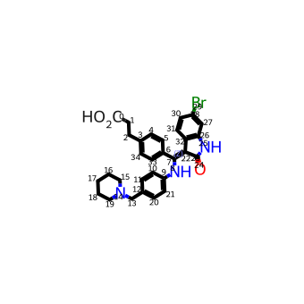 O=C(O)CCc1ccc(/C(Nc2ccc(CN3CCCCC3)cc2)=C2/C(=O)Nc3cc(Br)ccc32)cc1